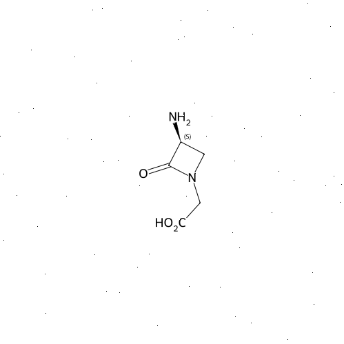 N[C@H]1CN(CC(=O)O)C1=O